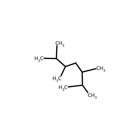 CC(C)C(C)[CH]C(C)C(C)C